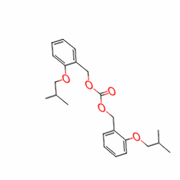 CC(C)COc1ccccc1COC(=O)OCc1ccccc1OCC(C)C